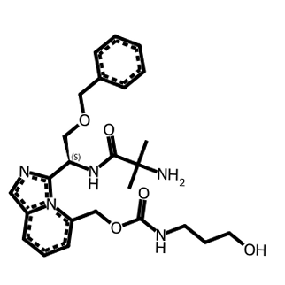 CC(C)(N)C(=O)N[C@H](COCc1ccccc1)c1ncc2cccc(COC(=O)NCCCO)n12